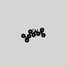 Cc1cccc(-c2ccc3c4ccccc4n(-c4ccccc4)c3c2)c1C1CC=CC=C1/C=C\c1cccc(N(c2ccccc2)c2ccccc2)c1